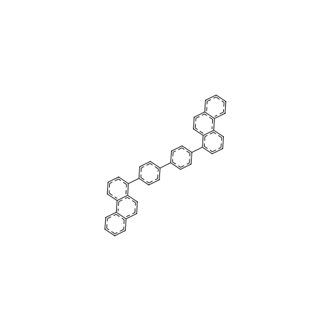 c1ccc2c(c1)ccc1c(-c3ccc(-c4ccc(-c5cccc6c5ccc5ccccc56)cc4)cc3)cccc12